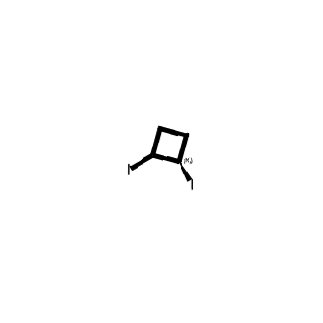 IC1CC[C@H]1I